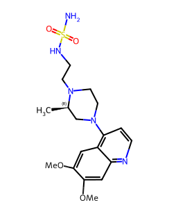 COc1cc2nccc(N3CCN(CCNS(N)(=O)=O)[C@H](C)C3)c2cc1OC